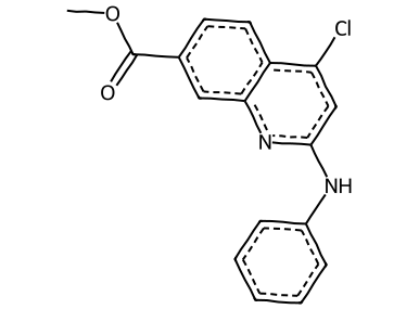 COC(=O)c1ccc2c(Cl)cc(Nc3ccccc3)nc2c1